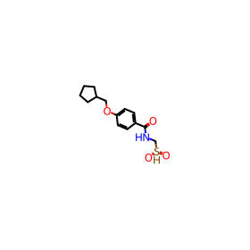 O=C(NC[SH](=O)=O)c1ccc(OCC2CCCC2)cc1